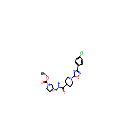 CC(C)(C)OC(=O)N1CC[C@H](CNC(=O)C2CCN(c3nc(-c4ccc(Cl)cc4)no3)CC2)C1